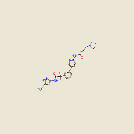 CC(C)(C(=O)Nc1cc(C2CC2)[nH]n1)c1cccc(-c2ccc(NC(=O)C=CCN3CCCC3)nc2)c1